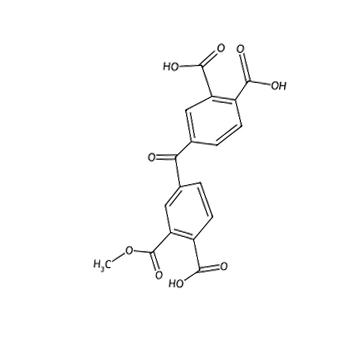 COC(=O)c1cc(C(=O)c2ccc(C(=O)O)c(C(=O)O)c2)ccc1C(=O)O